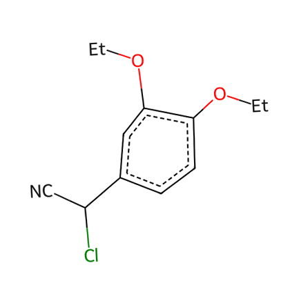 CCOc1ccc(C(Cl)C#N)cc1OCC